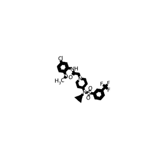 COc1ccc(Cl)cc1NC(=O)CN1CCC(N(C2CC2)S(=O)(=O)c2cccc(C(F)(F)F)c2)CC1